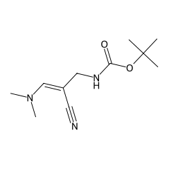 CN(C)/C=C(\C#N)CNC(=O)OC(C)(C)C